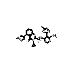 Cc1nnc(-c2c(N)ncnc2N[C@@H](C)c2nc3cccc(-c4cnn(C)c4)c3c(=O)n2C2CC2)o1